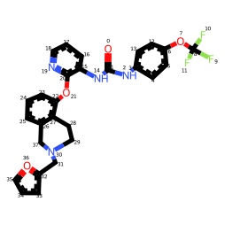 O=C(Nc1ccc(OC(F)(F)F)cc1)Nc1cccnc1Oc1cccc2c1CCN(Cc1ccco1)C2